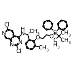 Cc1cccc([C@@H](C)Nc2nc(Cl)nc3cnc(Cl)cc23)c1OCCO[Si](c1ccccc1)(c1ccccc1)C(C)(C)C